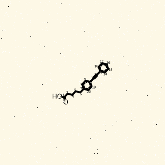 O=C(O)CCCCc1ccc(C#Cc2ccccc2)cc1